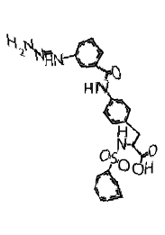 NN=CNc1cccc(C(=O)Nc2ccc(CC(NS(=O)(=O)c3ccccc3)C(=O)O)cc2)c1